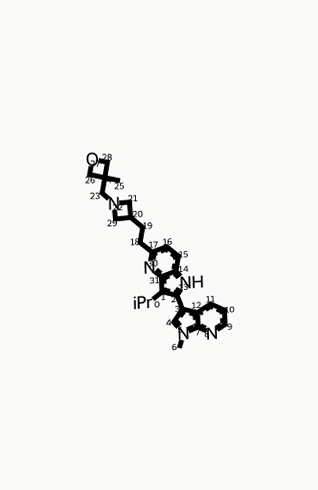 CC(C)c1c(-c2cn(C)c3ncccc23)[nH]c2ccc(CCC3CN(CC4(C)COC4)C3)nc12